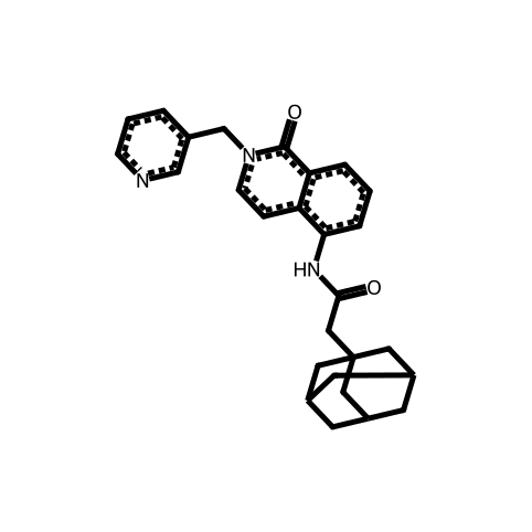 O=C(CC12CC3CC(CC(C3)C1)C2)Nc1cccc2c(=O)n(Cc3cccnc3)ccc12